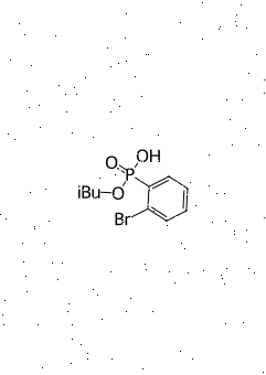 CCC(C)OP(=O)(O)c1ccccc1Br